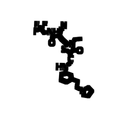 CCn1c(=C=C(C#N)C(=O)NCC(F)(F)F)sc(=C=CNc2cccc(CCN3CCCC3)c2)c1=O